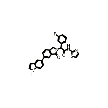 O=C(Nc1nccs1)C(c1cccc(F)c1)N1Cc2ccc(-c3ccc4[nH]ccc4c3)cc2C1=O